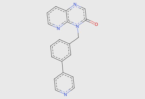 O=c1cnc2cccnc2n1Cc1cccc(-c2ccncc2)c1